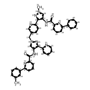 Cc1cccc(-c2cccc(C(=O)Nc3cn(Cc4ccc(-c5nn(C)cc5NC(=O)c5cccc(-c6ccccc6)n5)nc4)nc3-c3ccccn3)n2)c1